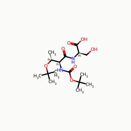 C[C@@H](OC(C)(C)C)[C@H](NC(=O)OC(C)(C)C)C(=O)N[C@H](CO)C(=O)O